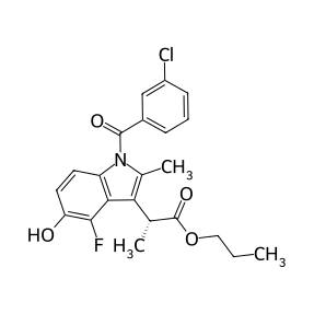 CCCOC(=O)[C@H](C)c1c(C)n(C(=O)c2cccc(Cl)c2)c2ccc(O)c(F)c12